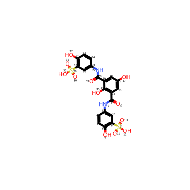 O=C(Nc1ccc(O)c(S(=O)(=O)O)c1)c1cc(O)cc(C(=O)Nc2ccc(O)c(S(=O)(=O)O)c2)c1O